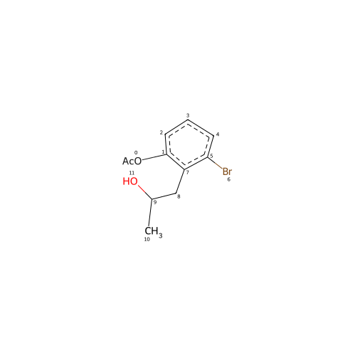 CC(=O)Oc1cccc(Br)c1CC(C)O